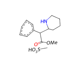 COC(=O)C(c1ccccc1)C1CCCCN1.CS(=O)(=O)O